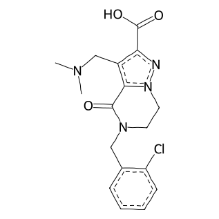 CN(C)Cc1c(C(=O)O)nn2c1C(=O)N(Cc1ccccc1Cl)CC2